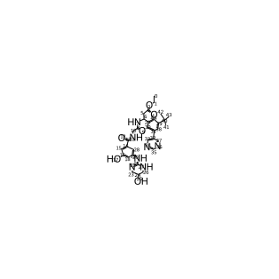 CCOC(=O)CC(NC(=O)CNC(=O)c1cc(O)cc(NC2=NCC(O)CN2)c1)c1cc(-c2cncnc2)cc(C(C)(C)C)c1